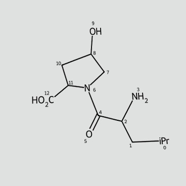 CC(C)CC(N)C(=O)N1CC(O)CC1C(=O)O